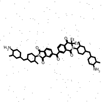 CCC1(CC)C(=O)c2ccc(C(=O)c3ccc4c(c3)C(=O)N(C3CCC(CC5CCC(N)C(C)C5)CC3C)C4=O)cc2C(=O)N1C1CCC(CC2CCC(N)C(C)C2)CC1C